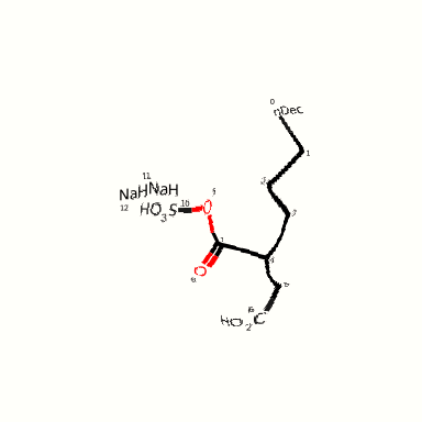 CCCCCCCCCCCCCC(CC(=O)O)C(=O)OS(=O)(=O)O.[NaH].[NaH]